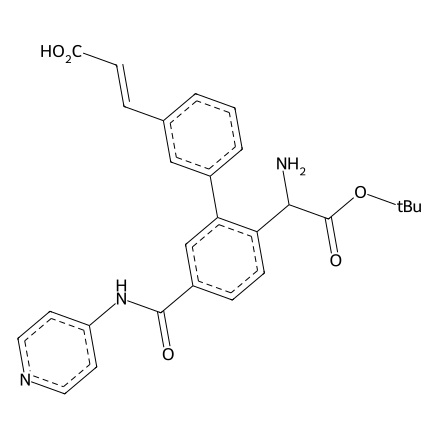 CC(C)(C)OC(=O)C(N)c1ccc(C(=O)Nc2ccncc2)cc1-c1cccc(/C=C/C(=O)O)c1